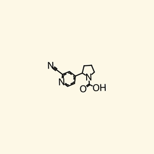 N#Cc1cc(C2CCCN2C(=O)O)ccn1